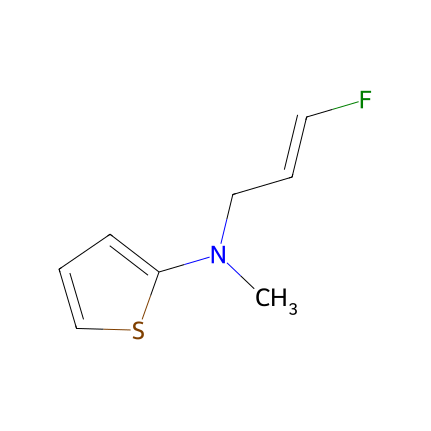 CN(CC=CF)c1cccs1